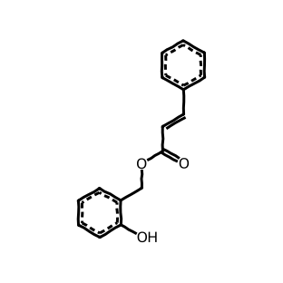 O=C(/C=C/c1ccccc1)OCc1ccccc1O